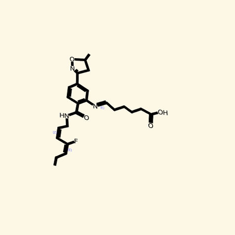 CC/C=C(F)\C=C/CNC(=O)c1ccc(C2=NOC(C)C2)cc1/N=C/CCCCC(=O)O